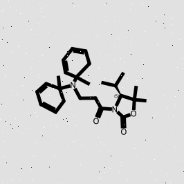 CC(C)[C@@H]1N(C(=O)CCN(C2(C)C=CC=CC2)C2(C)C=CC=CC2)C(=O)OC1(C)C